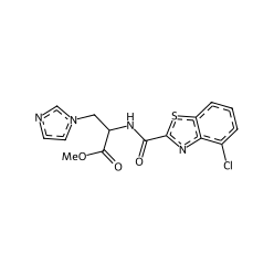 COC(=O)C(Cn1ccnc1)NC(=O)c1nc2c(Cl)cccc2s1